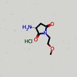 COCCN1C(=O)C[C@@H](N)C1=O.Cl